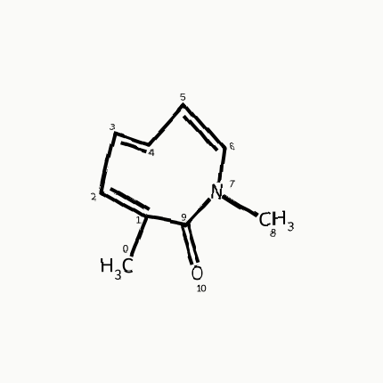 C/C1=C/C=C/C=C\N(C)C1=O